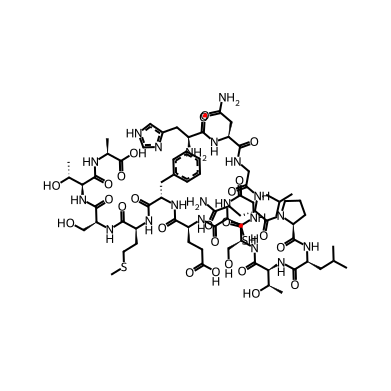 CSCC[C@H](NC(=O)[C@H](Cc1ccccc1)NC(=O)[C@H](CCC(=O)O)NC(=O)[C@H](CS)NC(=O)[C@H](CC(C)C)NC(=O)[C@H](CO)NC(=O)[C@@H](NC(=O)[C@H](CC(C)C)NC(=O)[C@@H]1CCCN1C(=O)[C@H](CCC(N)=O)NC(=O)CNC(=O)[C@H](CC(N)=O)NC(=O)[C@@H](N)Cc1c[nH]cn1)[C@@H](C)O)C(=O)N[C@@H](CO)C(=O)N[C@H](C(=O)N[C@@H](C)C(=O)O)[C@@H](C)O